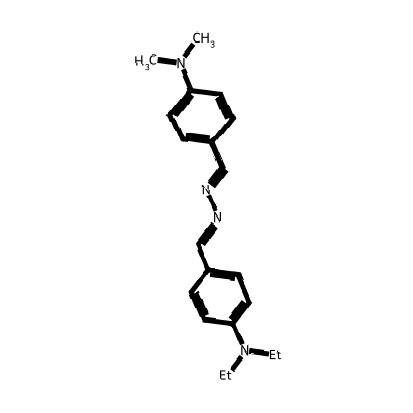 CCN(CC)c1ccc(/C=N/N=C/c2ccc(N(C)C)cc2)cc1